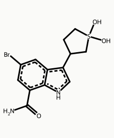 NC(=O)c1cc(Br)cc2c(C3CCS(O)(O)C3)c[nH]c12